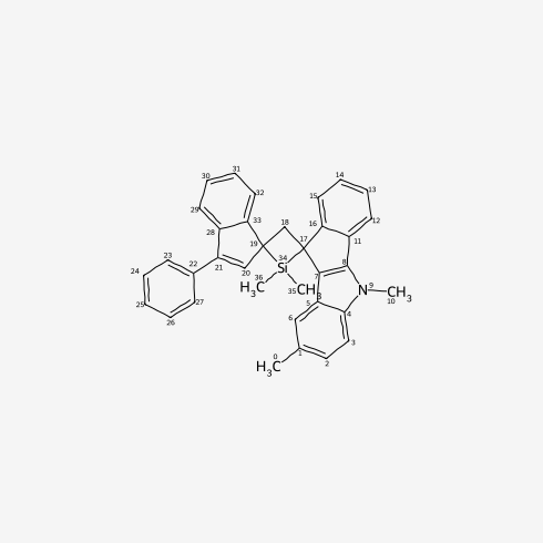 Cc1ccc2c(c1)c1c(n2C)-c2ccccc2C12CC1(C=C(c3ccccc3)c3ccccc31)[Si]2(C)C